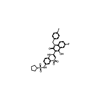 O=c1c(C2=CS(=O)(=O)c3cc(NS(=O)(=O)N4CCCC4)ccc3N2)c(O)c2cc(F)ccc2n1Cc1ccc(F)cc1